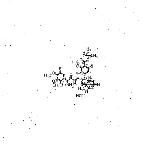 COc1c(F)cc(C(N)C(=O)N[C@@H](Cc2ccc(F)c(C(=O)OC(C)(C)C)c2OC)B2O[C@@H]3C[C@@H]4C[C@@H](C4(C)C)[C@]3(C)O2)c(Cl)c1OC.Cl